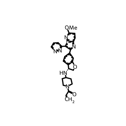 C=CC(=O)N1CCC(N[C@H]2COc3cc(-c4nc5ccc(OC)nn5c4-c4cccnn4)ccc32)CC1